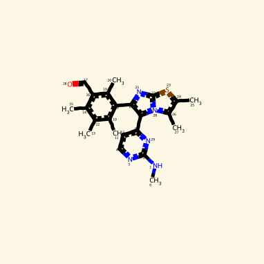 CNc1nccc(-c2c(-c3c(C)c(C)c(C)c(C=O)c3C)nc3sc(C)c(C)n23)n1